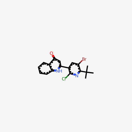 CC(C)(C)c1nc(Cl)c(-c2cc(=O)c3ccccc3[nH]2)cc1Br